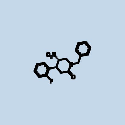 O=C1C[C@@H](c2ccccc2F)[C@H]([N+](=O)[O-])CN1Cc1ccccc1